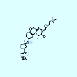 CC1C(=O)N(COCC[Si](C)(C)C)N=C2COc3ccc(N[C@@]4(C)CCN(C(=O)OC(C)(C)C)C4)cc3N21